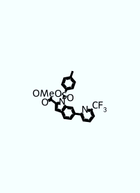 COC(=O)c1cc2ccc(-c3cccc(C(F)(F)F)n3)cc2n1S(=O)(=O)c1ccc(C)cc1